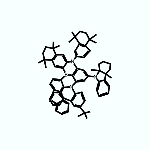 CC(C)(C)c1ccc(N2c3cc(N4c5ccccc5C5(C)CCCCC45C)cc4c3B(c3cc5c(cc3N4c3ccc4c(c3)C(C)(C)CCC4(C)C)C(C)(C)CCC5(C)C)c3ccc4sc5ccccc5c4c32)c(-c2ccccc2)c1